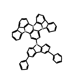 c1ccc(-c2ccc3c(c2)c2cc(-c4ccccc4)ccc2n3-c2cc3c4c(c2)-n2c5ccccc5c5cccc(c52)B4c2cccc4c5ccccc5n-3c24)cc1